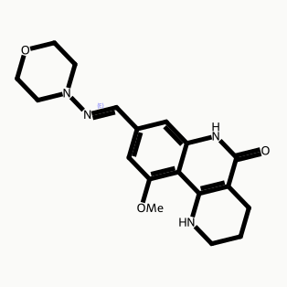 COc1cc(/C=N/N2CCOCC2)cc2[nH]c(=O)c3c(c12)NCCC3